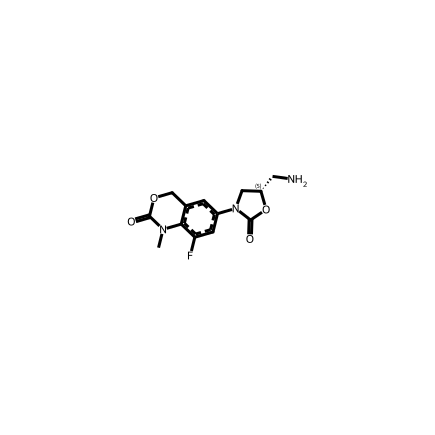 CN1C(=O)OCc2cc(N3C[C@H](CN)OC3=O)cc(F)c21